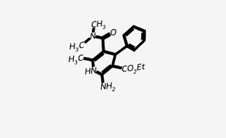 CCOC(=O)C1=C(N)NC(C)=C(C(=O)N(C)C)C1c1ccccc1